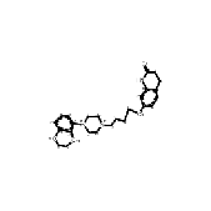 O=C1CCc2ccc(OCCCCN3CCN(c4cccc5c4OCCO5)CC3)cc2N1